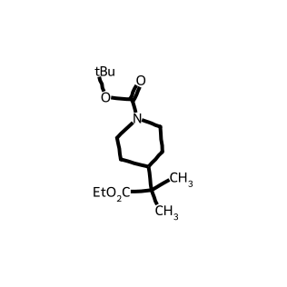 CCOC(=O)C(C)(C)C1CCN(C(=O)OC(C)(C)C)CC1